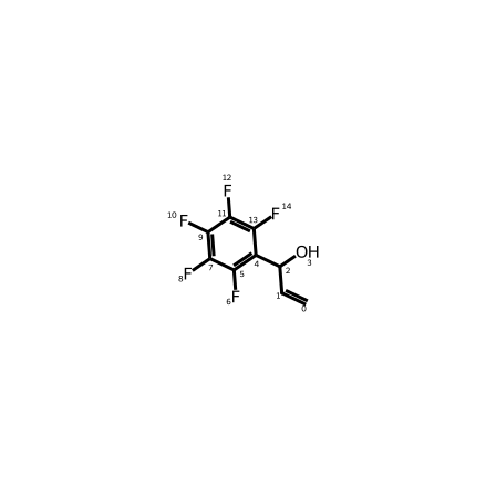 C=CC(O)c1c(F)c(F)c(F)c(F)c1F